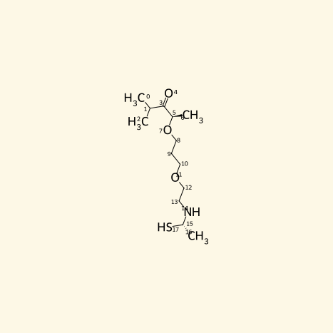 CC(C)C(=O)[C@@H](C)OCCCOCCN[C@H](C)S